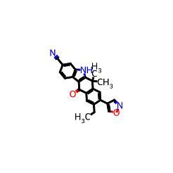 CCc1cc2c(cc1-c1cnoc1)C(C)(C)c1[nH]c3cc(C#N)ccc3c1C2=O